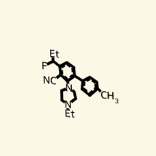 CCC(F)c1ccc(-c2ccc(C)cc2)c(N2CCN(CC)CC2)c1C#N